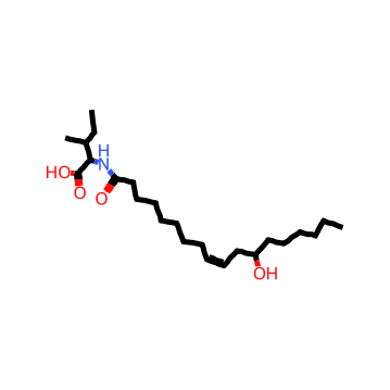 CCCCCCC(O)C/C=C\CCCCCCCC(=O)NC(C(=O)O)C(C)CC